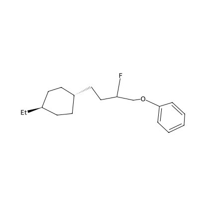 CC[C@H]1CC[C@H](CCC(F)COc2ccccc2)CC1